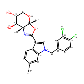 CC(C)c1ccc2c(C3=N[C@H]4[C@H](OC[C@@H](O)[C@@H]4O)O3)cn(Cc3ccc(Cl)c(Cl)c3)c2c1